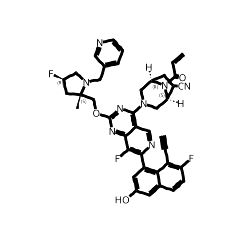 C#Cc1c(F)ccc2cc(O)cc(-c3ncc4c(N5C[C@H]6CC(C#N)[C@@H](C5)N6C(=O)C=C)nc(OC[C@]5(C)C[C@@H](F)CN5Cc5cccnc5)nc4c3F)c12